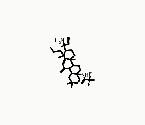 C=CC(C)(N)C1CCC2(C)C(=CC(=C)C3C4CC(C)(C)CCC4(NC(=C)C(C)(F)F)CCC32)C1(C)CCC